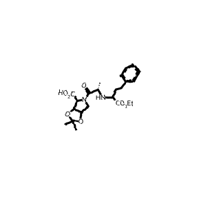 CCOC(=O)C(CCc1ccccc1)N[C@@H](C)C(=O)N1CC2OC(C)(C)OC2C1C(=O)O